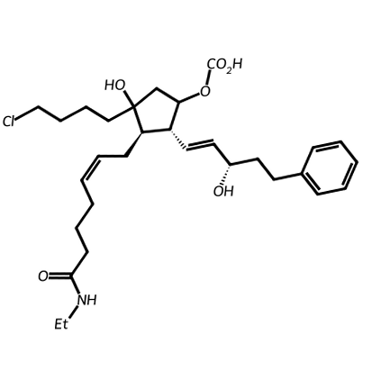 CCNC(=O)CCC/C=C\C[C@@H]1[C@@H](/C=C/[C@@H](O)CCc2ccccc2)C(OC(=O)O)CC1(O)CCCCCl